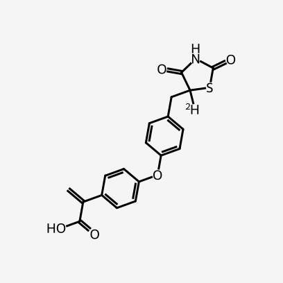 [2H]C1(Cc2ccc(Oc3ccc(C(=C)C(=O)O)cc3)cc2)SC(=O)NC1=O